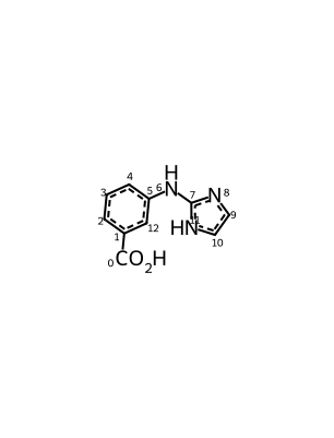 O=C(O)c1cccc(Nc2ncc[nH]2)c1